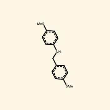 CSc1ccc(CNc2ccc(SC)cc2)cc1